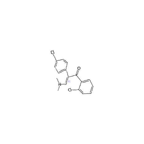 CN(C)/C=C(/C(=O)c1ccccc1Cl)c1ccc(Cl)cc1